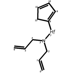 C=CC[N](CC=C)[Hf][C]1=CC=CC1